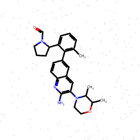 Cc1cccc(C2CCCN2C=O)c1-c1ccc2nc(N)c(N3CCOC(C)C3C)cc2c1